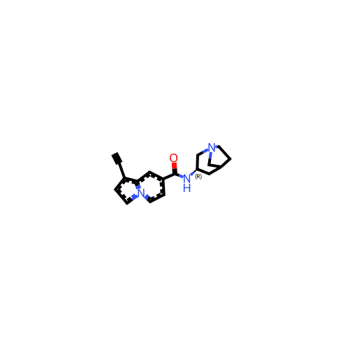 C#Cc1ccn2ccc(C(=O)N[C@@H]3CC4CCN(C4)C3)cc12